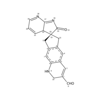 O=CC1=Cc2cc3c(cc2NC1)C[C@]1(C3)C(=O)N=C2N=CC=CC21